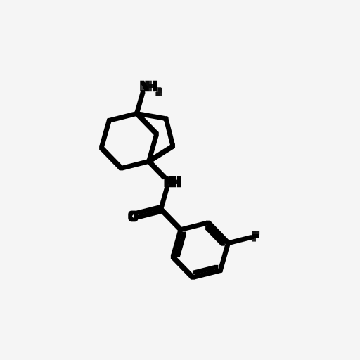 NC12CCCC(NC(=O)c3cccc(F)c3)(CC1)C2